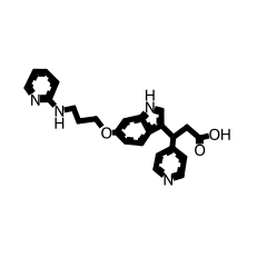 O=C(O)CC(c1ccncc1)c1c[nH]c2cc(OCCCNc3ccccn3)ccc12